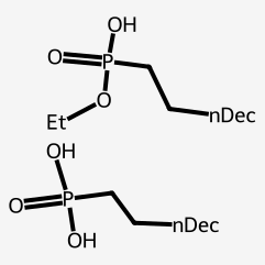 CCCCCCCCCCCCP(=O)(O)O.CCCCCCCCCCCCP(=O)(O)OCC